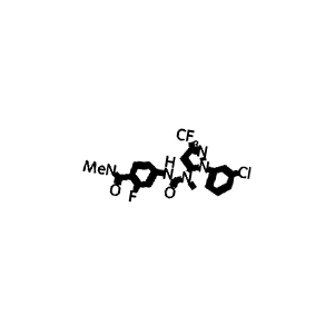 CNC(=O)c1ccc(NC(=O)N(C)c2cc(C(F)(F)F)nn2-c2cccc(Cl)c2)cc1F